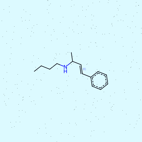 CCCCNC(C)/C=C/c1ccccc1